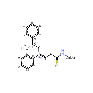 CCCCNC(=S)C/C=C(\C[C@H](C)c1ccccc1)c1ccccc1